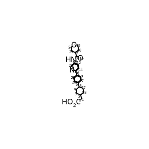 O=C(O)CC1CCC(c2ccc(-c3ccc(NC(=O)C4CCOCC4)cn3)cc2)CC1